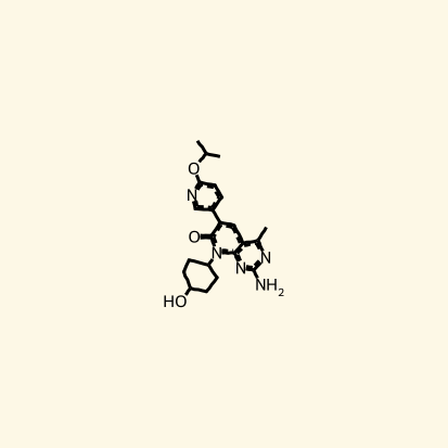 Cc1nc(N)nc2c1cc(-c1ccc(OC(C)C)nc1)c(=O)n2C1CCC(O)CC1